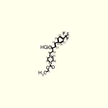 CCOC(=O)N1CCN(CCC(=O)C=Cc2ccc(C(F)(F)F)cc2)CC1.Cl